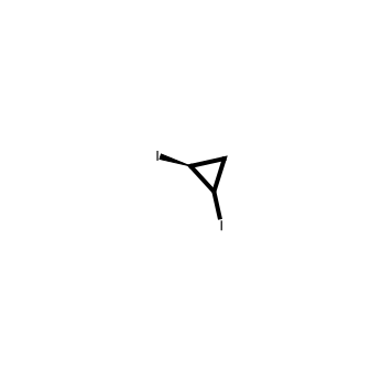 IC1C[C@@H]1I